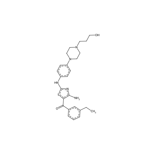 CCc1cccc(C(=O)c2sc(Nc3ccc(N4CCN(CCCO)CC4)cc3)nc2N)c1